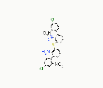 Nc1c(Sc2cccc(-c3ccc(Cl)cc3[N+](=O)[O-])c2N)cccc1-c1ccc(Cl)cc1[N+](=O)[O-]